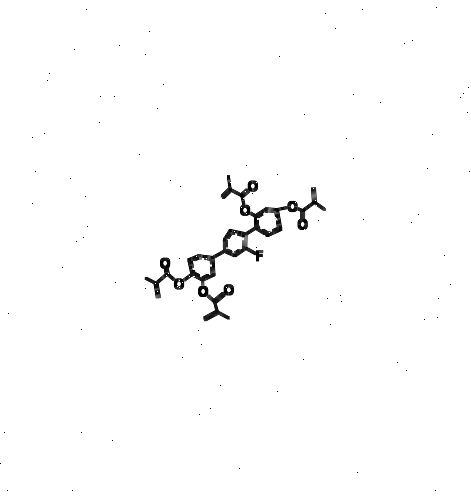 C=C(C)C(=O)Oc1ccc(-c2ccc(-c3ccc(OC(=O)C(=C)C)c(OC(=O)C(=C)C)c3)cc2F)c(OC(=O)C(=C)C)c1